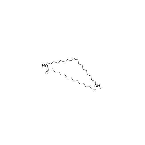 CCCCCCCC/C=C\CCCCCCCCN.CCCCCCCCCCCCCCCC(=O)O